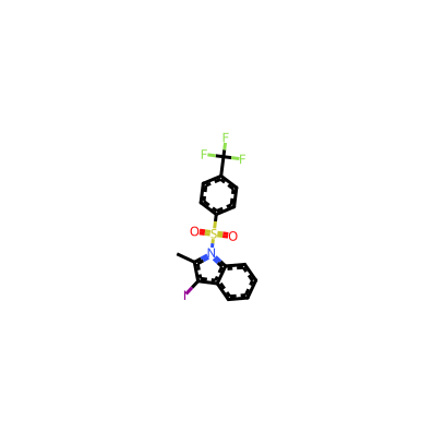 Cc1c(I)c2ccccc2n1S(=O)(=O)c1ccc(C(F)(F)F)cc1